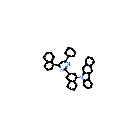 c1ccc(-c2cc(-c3cccc4ccccc34)nc(-c3cc(-n4c5ccccc5c5cc6ccccc6cc54)c4ccccc4c3)n2)cc1